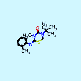 Cc1ccccc1N=C1SCN(C(C)(C)C)C(=O)N1C